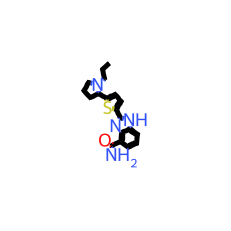 CCCN1CCCC1c1ccc(-c2nc3c(C(N)=O)cccc3[nH]2)s1